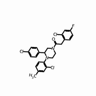 Cc1ccc(N2CCN(C(=O)Cc3ccc(F)cc3Cl)CC2c2ccc(Cl)cc2)c(Cl)c1